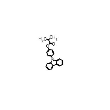 C=C(C)C(=O)Oc1ccc(-n2c3ccccc3c3ccccc32)cc1